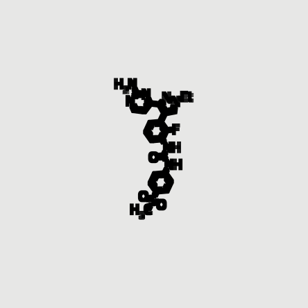 CCn1cc(-c2cccc(NC(=O)Nc3ccc(S(C)(=O)=O)cc3)c2F)c(-c2ccnc(N)n2)n1